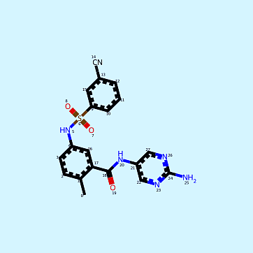 Cc1ccc(NS(=O)(=O)c2cccc(C#N)c2)cc1C(=O)Nc1cnc(N)nc1